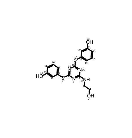 OCCNc1nc(Sc2cccc(O)c2)nc(Sc2cccc(O)c2)n1